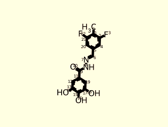 Cc1c(F)cc(/C=N/NC(=O)c2cc(O)c(O)c(O)c2)cc1F